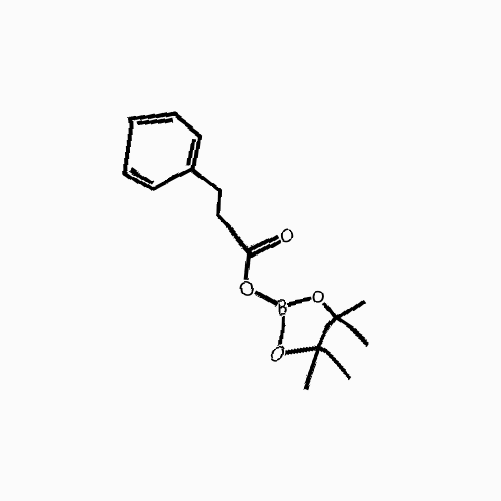 CC1(C)OB(OC(=O)CCc2ccccc2)OC1(C)C